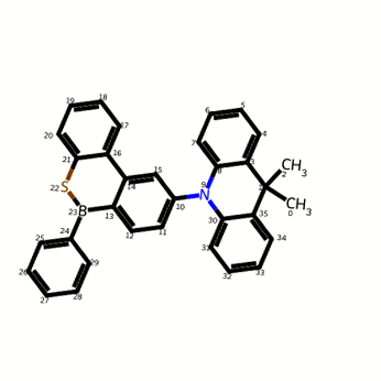 CC1(C)c2ccccc2N(c2ccc3c(c2)-c2ccccc2SB3c2ccccc2)c2ccccc21